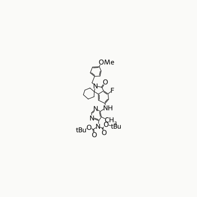 COc1ccc(CN2C(=O)c3c(F)cc(Nc4ncnc(N(C(=O)OC(C)(C)C)C(=O)OC(C)(C)C)c4C)cc3C23CCCCC3)cc1